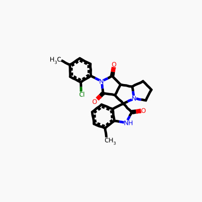 Cc1ccc(N2C(=O)C3C4CCCN4C4(C(=O)Nc5c(C)cccc54)C3C2=O)c(Cl)c1